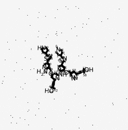 CN1CCC(c2ncc(-c3cnc(Nc4cc(OCc5cc(-c6cnc(C7CCNCC7)s6)cnc5N)cc(C#CC(C)(C)O)n4)c(OCc4cnnc(C#CC(C)(C)O)c4)c3)s2)CC1